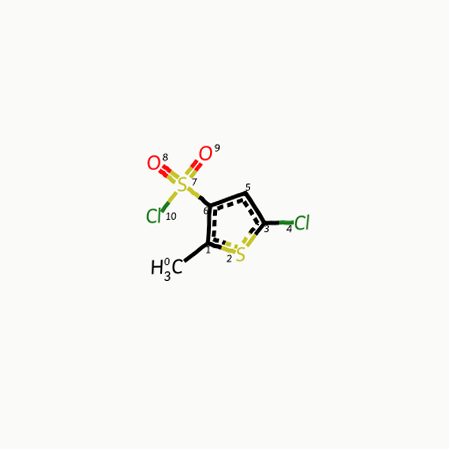 Cc1sc(Cl)cc1S(=O)(=O)Cl